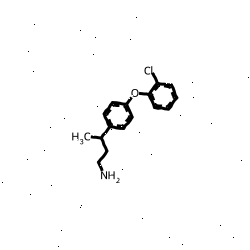 CC(CCN)c1ccc(Oc2ccccc2Cl)cc1